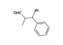 CC(C)C(c1ccccc1)C(C)C=O